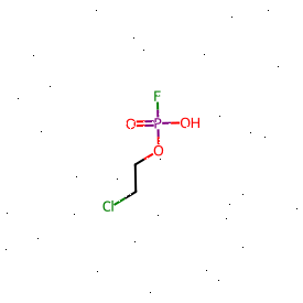 O=P(O)(F)OCCCl